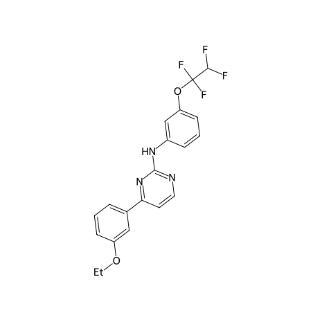 CCOc1cccc(-c2ccnc(Nc3cccc(OC(F)(F)C(F)F)c3)n2)c1